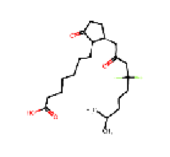 CC(C)CCCC(F)(F)CC(=O)C[C@@H]1CCC(=O)[C@@H]1CCCCCCC(=O)O